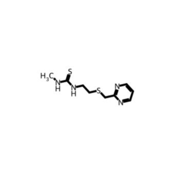 CNC(=S)NCCSCc1ncccn1